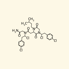 CC(C)CCN1C(=O)CN(C(Cl)Cc2ccc(Cl)cc2)C(=O)C1CC(=O)N(CC(N)=O)C(Cl)Cc1ccc(Cl)cc1